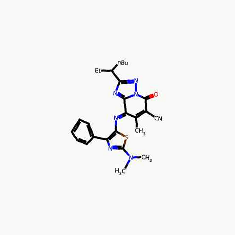 CCCCC(CC)c1nc2n(n1)C(=O)C(C#N)=C(C)/C2=N\c1sc(N(C)C)nc1-c1ccccc1